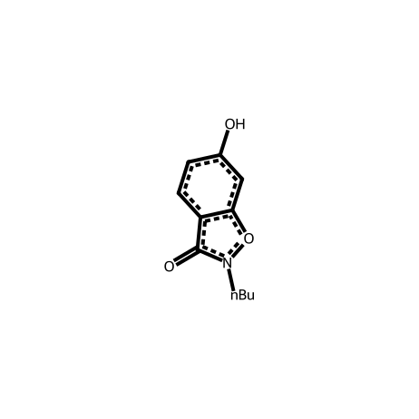 CCCCn1oc2cc(O)ccc2c1=O